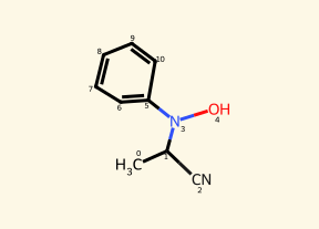 CC(C#N)N(O)c1ccccc1